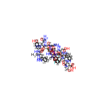 CCCC[C@@H](C(=O)N1C[C@H](O)C[C@@H]1C(=O)N[C@@H](CC(=O)O)C(=O)N[C@H](C(=O)N(C)C(Cc1ccccc1)C(=O)N[C@@H](CCC(=O)O)C(=O)N1CC[C@@H](O)C1)C(C)C)N(C)C(=O)[C@H](Cc1ccccc1)N(C)C(=O)[C@H](Cc1cc(F)c(F)c(F)c1)NC(=O)CSC[C@H](NC(=O)[C@H](CCC(N)=O)NC(=O)[C@H](Cc1ccc(O)cc1)NC(=O)[C@H](Cc1c[nH]c2ccccc12)NC)C(=O)NCC(N)=O